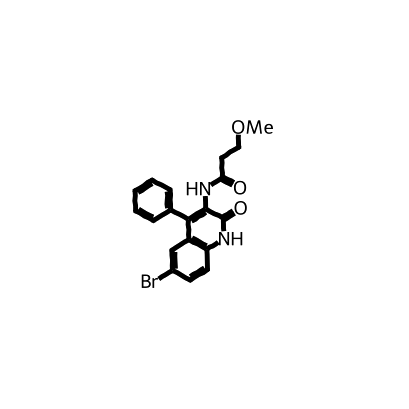 COCCC(=O)Nc1c(-c2ccccc2)c2cc(Br)ccc2[nH]c1=O